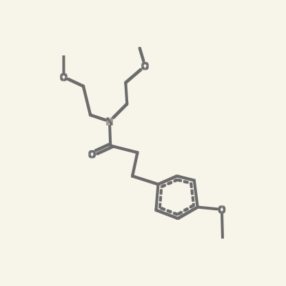 COCCN(CCOC)C(=O)CCc1ccc(OC)cc1